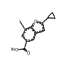 O=C(O)c1cc(I)c2oc(C3CC3)cc2c1